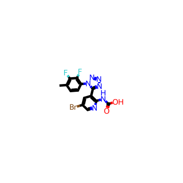 Cc1ccc(-n2nnnc2-c2cc(Br)cnc2NC(=O)O)c(F)c1F